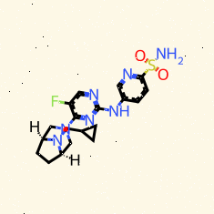 NS(=O)(=O)c1ccc(Nc2ncc(F)c(N3C[C@H]4CC[C@@H](C3)N4CC3CC3)n2)cn1